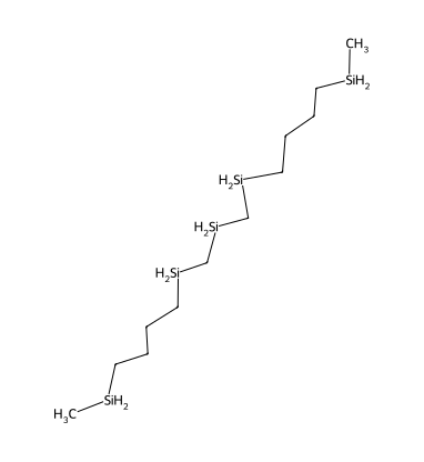 C[SiH2]CCCC[SiH2]C[SiH2]C[SiH2]CCCC[SiH2]C